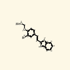 COCOc1ccc(C=Cc2nc3c[c]ccc3s2)cc1Br